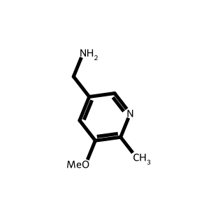 COc1cc(CN)cnc1C